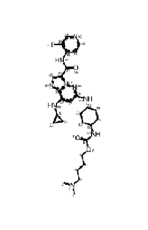 CN(C)CCCCOC(=O)N[C@H]1CC[C@H](Nc2cc(NC3CC3)c3ncc(C(=O)Nc4ccncc4F)n3n2)CC1